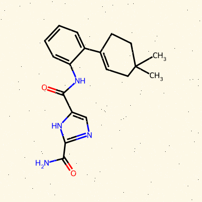 CC1(C)CC=C(c2ccccc2NC(=O)c2cnc(C(N)=O)[nH]2)CC1